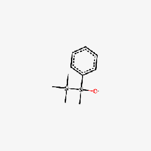 C[Si](C)(C)[Si](C)([O])c1ccccc1